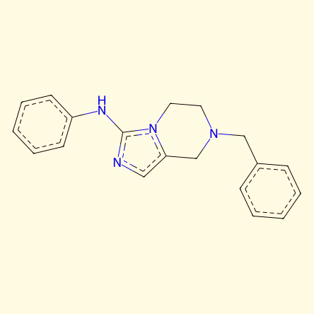 c1ccc(CN2CCn3c(cnc3Nc3ccccc3)C2)cc1